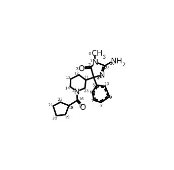 CN1C(=O)C(c2ccccc2)(C2CCCN(C(=O)C3CCCC3)C2)N=C1N